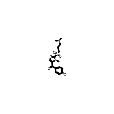 CN(C)CCCS(=O)(=O)c1ncc(C(=O)c2ccc(Cl)cc2)n1C